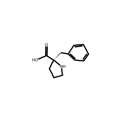 O=C(O)[C@]1(Cc2ccccc2)CCCN1